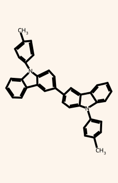 Cc1ccc(-n2c3ccccc3c3cc(-c4ccc5c(c4)c4ccccc4n5-c4ccc(C)cc4)ccc32)cc1